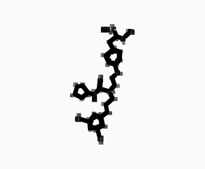 CCOC(Cc1ccc(OCCN(CCCc2cc(Cl)cc(Cl)c2)C(=O)NC2CCCC2)cc1)C(=O)O